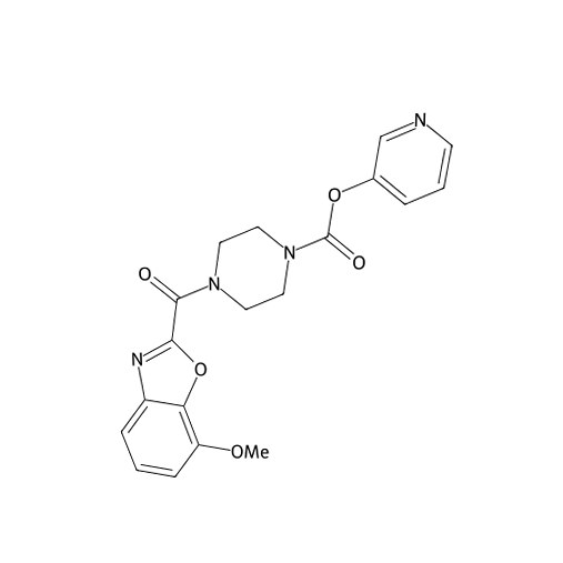 COc1cccc2nc(C(=O)N3CCN(C(=O)Oc4cccnc4)CC3)oc12